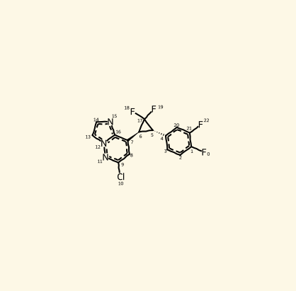 Fc1ccc([C@@H]2[C@@H](c3cc(Cl)nn4ccnc34)C2(F)F)cc1F